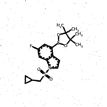 CC1(C)OB(c2cc(F)cc3c2ccn3S(=O)(=O)CC2CC2)OC1(C)C